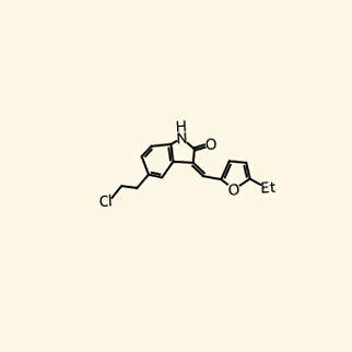 CCc1ccc(C=C2C(=O)Nc3ccc(CCCl)cc32)o1